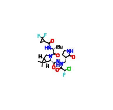 CC[C@@H](C)[C@H](NC(=O)C1CC1(F)F)C(=O)N1C[C@H]2[C@@H]([C@H]1C(=O)NN(C[C@@H]1CCNC1=O)C(=O)[C@@H](F)Cl)C2(C)C